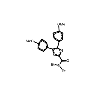 CCN(CC)C(=O)c1nc(-c2ccc(OC)cc2)c(-c2ccc(OC)cc2)s1